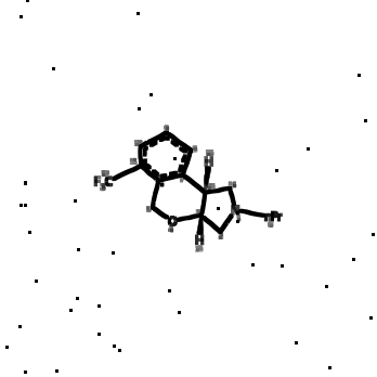 CCCN1C[C@@H]2OCc3c(cccc3C(F)(F)F)[C@@H]2C1